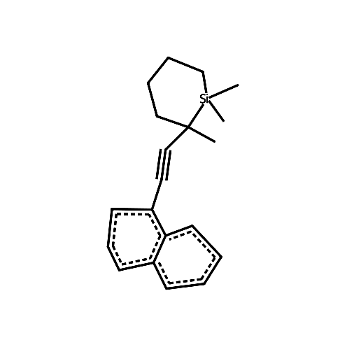 CC1(C#Cc2cccc3ccccc23)CCCC[Si]1(C)C